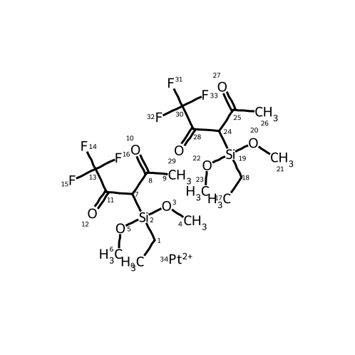 CC[Si](OC)(OC)C(C(C)=O)C(=O)C(F)(F)F.CC[Si](OC)(OC)C(C(C)=O)C(=O)C(F)(F)F.[Pt+2]